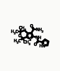 CC1(C)Cc2c(sc(NC(=O)c3ccc[nH]3)c2C(N)=O)C(C)(C)O1